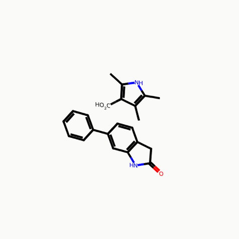 Cc1[nH]c(C)c(C(=O)O)c1C.O=C1Cc2ccc(-c3ccccc3)cc2N1